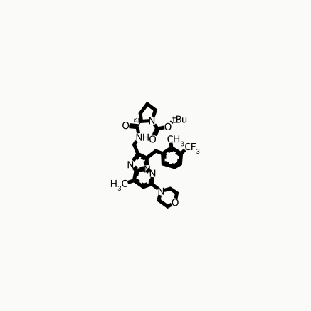 Cc1c(Cc2c(CNC(=O)[C@@H]3CCCN3C(=O)OC(C)(C)C)nc3c(C)cc(N4CCOCC4)nn23)cccc1C(F)(F)F